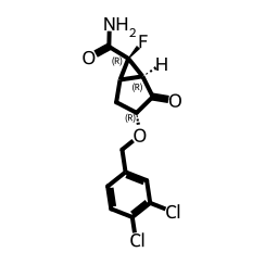 NC(=O)[C@@]1(F)C2C[C@@H](OCc3ccc(Cl)c(Cl)c3)C(=O)[C@@H]21